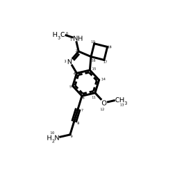 CNC1=Nc2cc(C#CCN)c(OC)cc2C12CCC2